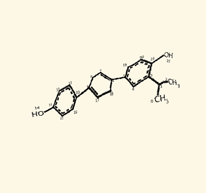 CC(C)c1cc(C2=CCC(c3ccc(O)cc3)=CC2)ccc1O